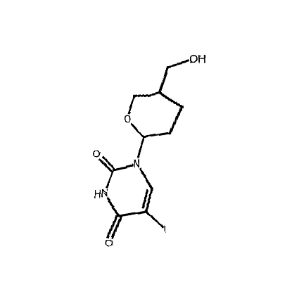 O=c1[nH]c(=O)n(C2CCC(CO)CO2)cc1I